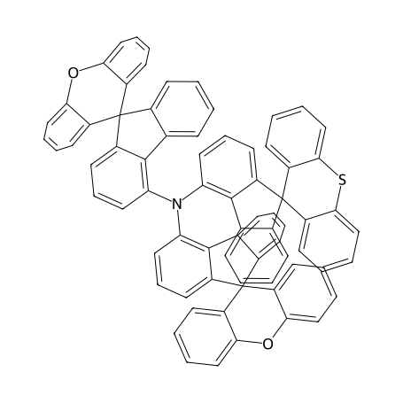 c1ccc2c(c1)Oc1ccccc1C21c2ccccc2-c2c(N(c3cccc4c3-c3ccccc3C43c4ccccc4Oc4ccccc43)c3cccc4c3-c3ccccc3C43c4ccccc4Sc4ccccc43)cccc21